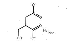 O=C([O-])CC(CO)C(=O)[O-].[Na+].[Na+]